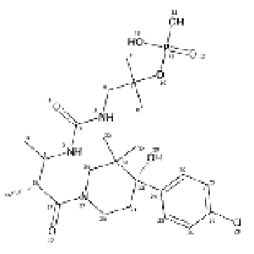 CC(NC(=O)NCC(C)(C)OP(=O)(O)O)[C@@H](C)C(=O)N1CC[C@](O)(c2ccc(Cl)cc2)C(C)(C)C1